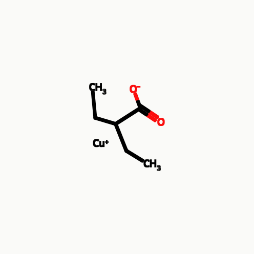 CCC(CC)C(=O)[O-].[Cu+]